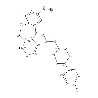 CCOc1ccc2c(c1)C(=CCCN1CCC(c3ccc(Cl)cc3)CC1)C1=C(CO2)NCC=C1